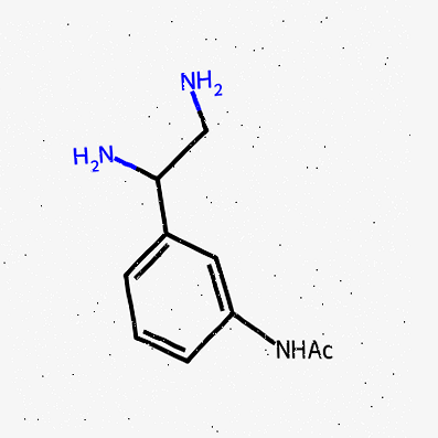 CC(=O)Nc1cccc(C(N)CN)c1